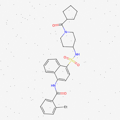 CCc1ccccc1C(=O)Nc1ccc(S(=O)(=O)NC2CCN(C(=O)C3CCCC3)CC2)c2ccccc12